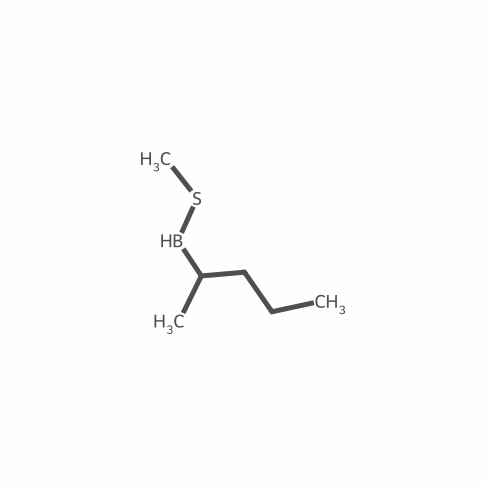 CCCC(C)BSC